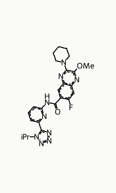 COc1nc2cc(F)c(C(=O)Nc3cccc(-c4nnnn4C(C)C)n3)cc2nc1N1CCCCC1